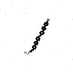 CCCCCC1CCC(c2ccc(-c3ccc(/C=C/C4CCC(c5ccc(-c6ccc(C#N)cc6)cc5)CC4)cc3)cc2)CC1